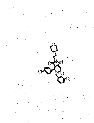 COc1cccc(Cn2c(-c3ccc(Cl)cc3)c3c(=O)n(CCN4CCOCC4)[nH]c3cc2=O)c1